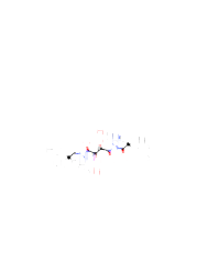 CC(C)(C)CNC(=O)[C@H](O)[C@@H](O)C(=O)NC(=O)C(C)(C)C